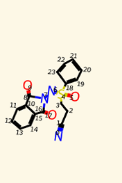 N#CCCS(=O)(=NN1C(=O)c2ccccc2C1=O)c1ccccc1